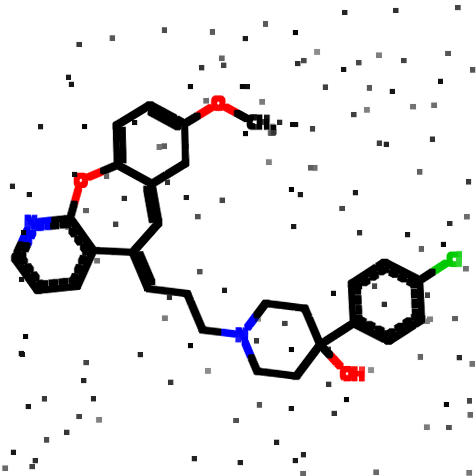 COC1=CC=C2Oc3ncccc3C(=CCCN3CCC(O)(c4ccc(Cl)cc4)CC3)C=C2C1